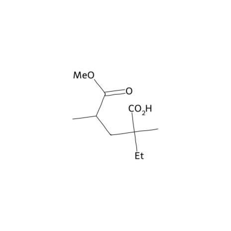 CCC(C)(CC(C)C(=O)OC)C(=O)O